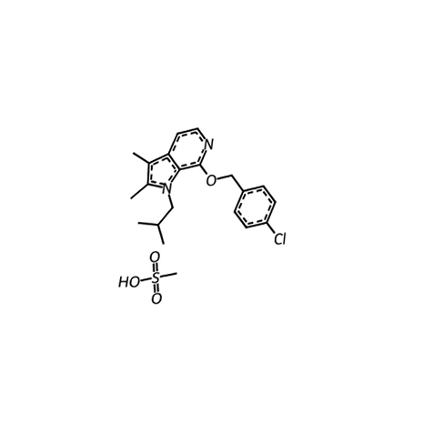 CS(=O)(=O)O.Cc1c(C)n(CC(C)C)c2c(OCc3ccc(Cl)cc3)nccc12